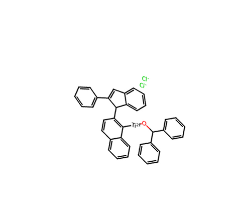 C1=C(c2ccccc2)C(c2ccc3ccccc3[c]2[Ti+2][O]C(c2ccccc2)c2ccccc2)c2ccccc21.[Cl-].[Cl-]